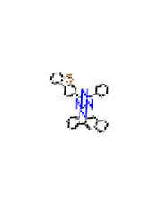 c1ccc(-c2nc(-c3ccc4c(c3)sc3ccccc34)nc(-n3c4ccccc4c4cc5ccccc5cc43)n2)cc1